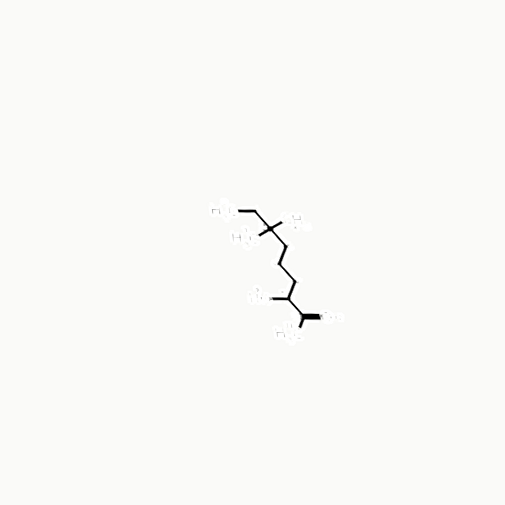 CCC(C)(C)CCCC(O)C(C)=O